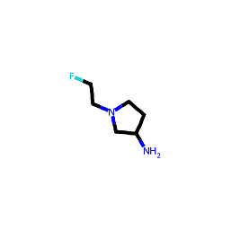 NC1CCN(CCF)C1